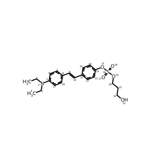 CCN(CC)c1ccc(/C=C/c2ccc(OS(=O)(=O)OCCCO)cc2)cc1